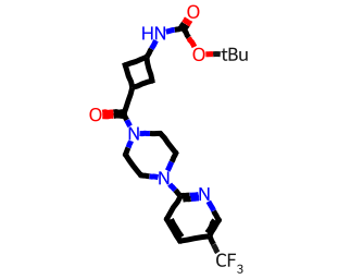 CC(C)(C)OC(=O)NC1CC(C(=O)N2CCN(c3ccc(C(F)(F)F)cn3)CC2)C1